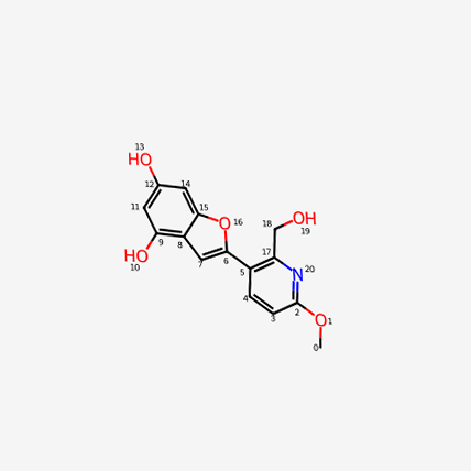 COc1ccc(-c2cc3c(O)cc(O)cc3o2)c(CO)n1